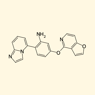 Nc1cc(Oc2nccc3occc23)ccc1-c1cccc2nccn12